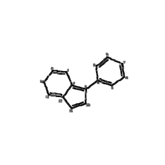 C1=CC2=C(c3ccccc3)C=CC2=CC1